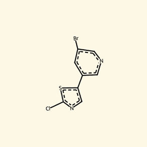 Clc1ncc(-c2cncc(Br)c2)s1